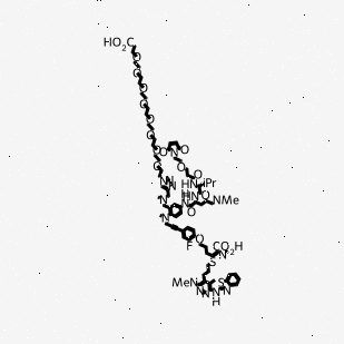 C=N/C(C(=O)O)=C(/CCCOc1ccc(C#CCN(C)c2ccc(NC(=O)C(CCCNC)NC(=O)C(NC(=O)CCOCCN3C(=O)C=CC3=O)C(C)C)cc2CN(C)Cc2cn(CCOCCOCCOCCOCCOCCOCCOCCOCCC(=O)O)nn2)cc1F)SCCCc1c(NC)nnc(Nc2nc3ccccc3s2)c1C